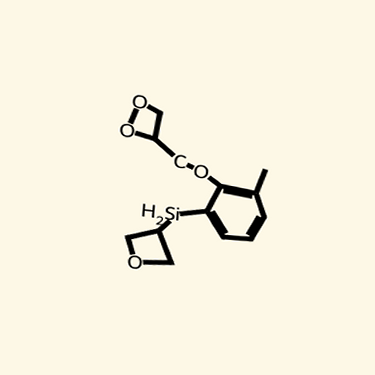 Cc1cccc([SiH2]C2COC2)c1OCC1COO1